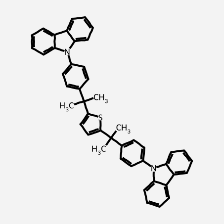 CC(C)(c1ccc(-n2c3ccccc3c3ccccc32)cc1)c1ccc(C(C)(C)c2ccc(-n3c4ccccc4c4ccccc43)cc2)s1